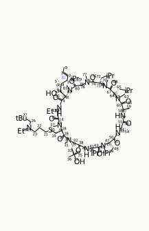 C/C=C/C[C@@H](C)[C@@H](O)[C@H]1C(=O)N[C@@H](CC)C(=O)N(C)[C@H](CSCCCN(CC)CC(C)(C)C)C(=O)N(C)[C@@H](CC(C)(C)O)C(=O)N[C@@H](C(C)C)C(=O)N(C)[C@@H](CC(C)C)C(=O)N[C@@H](C)C(=O)N[C@H](C)C(=O)N(C)[C@@H](CC(C)C)C(=O)N(C)[C@@H](CC(C)C)C(=O)N(C)[C@@H](C(C)C)C(=O)N1C